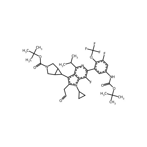 CC(C)c1nc(-c2cc(NC(=O)OC(C)(C)C)cc(F)c2OC(F)(F)F)c(F)c2c1c(C1C3CN(C(=O)OC(C)(C)C)CC31)c(CC=O)n2C1CC1